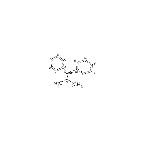 C[CH](C)[Ge]([c]1ccccc1)[c]1ccccc1